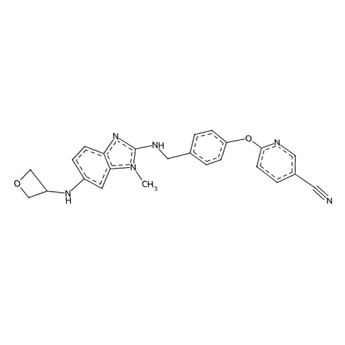 Cn1c(NCc2ccc(Oc3ccc(C#N)cn3)cc2)nc2ccc(NC3COC3)cc21